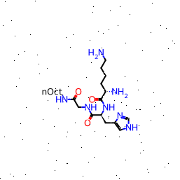 CCCCCCCCNC(=O)CNC(=O)[C@H](Cc1c[nH]cn1)NC(=O)[C@@H](N)CCCCN